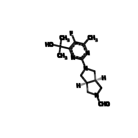 Cc1nc(N2C[C@H]3CN(C=O)C[C@H]3C2)nc(C(C)(C)O)c1F